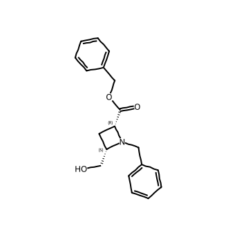 O=C(OCc1ccccc1)[C@H]1C[C@@H](CO)N1Cc1ccccc1